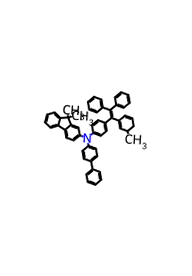 CC1C=C(C(=C(c2ccccc2)c2ccccc2)c2ccc(N(c3ccc(-c4ccccc4)cc3)c3ccc4c(c3)C(C)(C)c3ccccc3-4)cc2)C=CC1